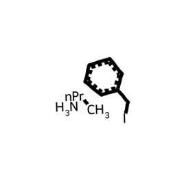 CCCC.ICc1ccccc1.N